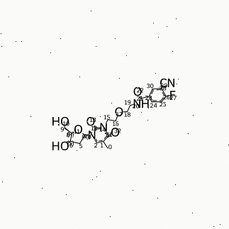 Cc1cn([C@H]2C[C@H](O)[C@@H](CO)O2)c(=O)n(CCOCCNC(=O)c2ccc(F)c(C#N)c2)c1=O